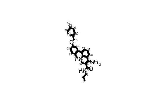 CCCNC(=O)C1=C(N)c2cccc(-c3cc(OCc4ccc(F)cn4)ccc3C)c2NC1